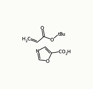 C=CC(=O)OC(C)(C)C.O=C(O)c1cnco1